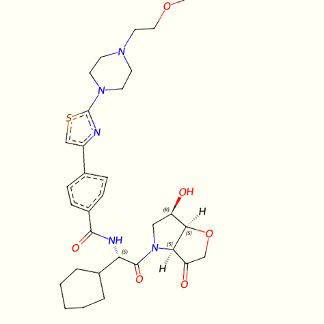 COCCN1CCN(c2nc(-c3ccc(C(=O)N[C@H](C(=O)N4C[C@@H](O)[C@H]5OCC(=O)[C@H]54)C4CCCCC4)cc3)cs2)CC1